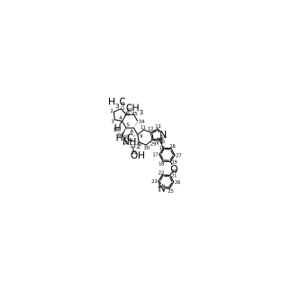 C[C@H]1CC[C@H]2[C@H](CN)[C@@H]([C@@]3(C)Cc4cnn(-c5ccc(Oc6ccncc6)cc5)c4C[C@@H]3CO)CC[C@]12C